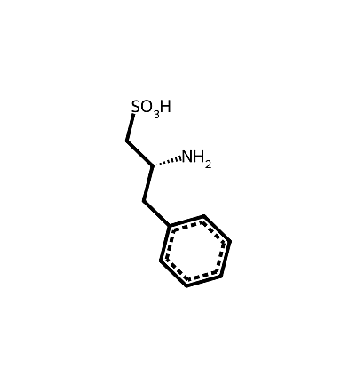 N[C@H](Cc1ccccc1)CS(=O)(=O)O